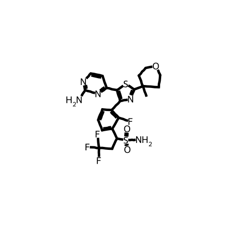 CC1(c2nc(-c3cccc(C(CC(F)(F)F)S(N)(=O)=O)c3F)c(-c3ccnc(N)n3)s2)CCOCC1